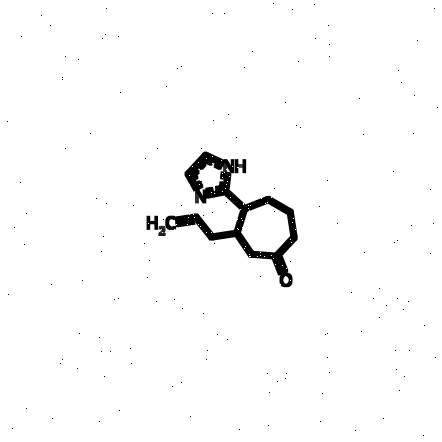 C=CCC1CC(=O)CCCC1c1ncc[nH]1